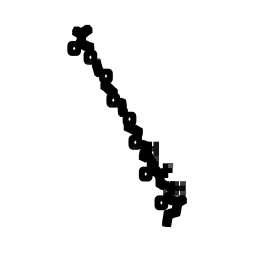 CCCC(C)C(=O)NCC(F)C(=O)NCCOCCOCCOCCOCCOCC(=O)C(C)C